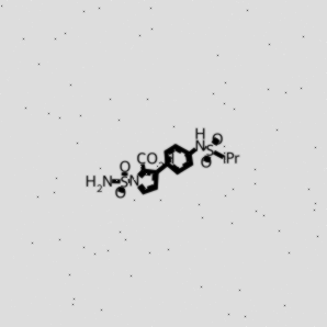 CC(C)S(=O)(=O)Nc1ccc(-c2ccn(S(N)(=O)=O)c2C(=O)O)cc1